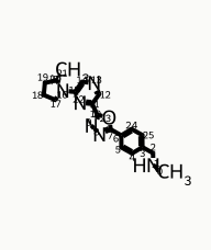 CNCc1ccc(-c2nnc(-c3cncc(N4CCC[C@@H]4C)n3)o2)cc1